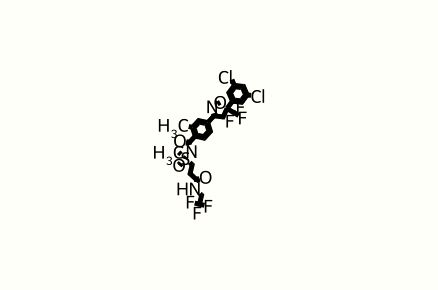 Cc1cc(C2=NOC(c3cc(Cl)cc(Cl)c3)(C(F)(F)F)C2)ccc1C(=O)N=S(C)(=O)CCC(=O)NCC(F)(F)F